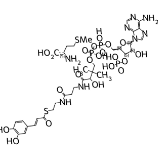 CC(C)(COP(=O)(O)OP(=O)(O)OC[C@H]1O[C@@H](n2cnc3c(N)ncnc32)[C@H](O)[C@@H]1OP(=O)(O)O)C(O)C(=O)NCCC(=O)NCCSC(=O)C=Cc1ccc(O)c(O)c1.CSCC[C@H](N)C(=O)O